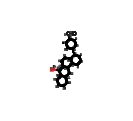 O=Cc1ccc(-c2cccc3c2ccc2c(Br)c4ccccc4cc23)cc1